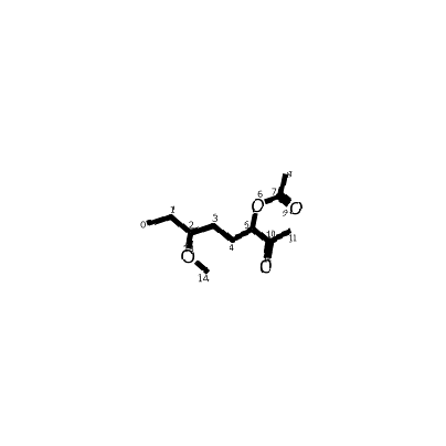 CCC(CCC(OC(C)=O)C(C)=O)OC